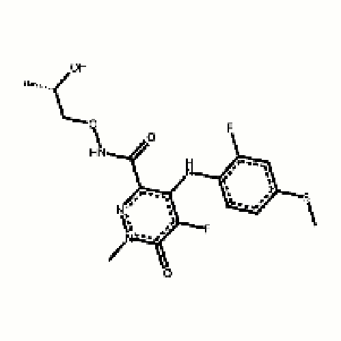 CSc1ccc(Nc2c(C(=O)NOC[C@H](C)O)nn(C)c(=O)c2F)c(F)c1